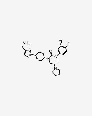 NCc1cnc(C2=CCC(N(CCN3CCCC3)C(=O)Nc3ccc(F)c(Cl)c3)CC2)s1